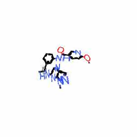 COc1ccc(C(=O)Nc2cccc([C@H](C)Nc3cnc4cnn(C)c4n3)c2)cn1